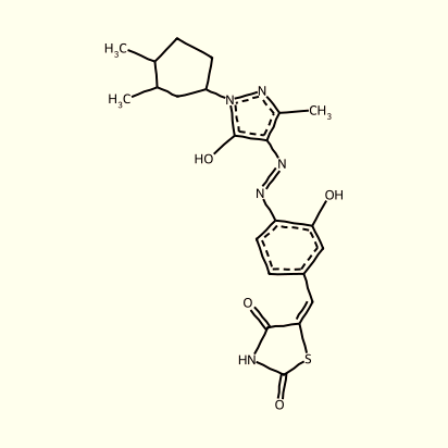 Cc1nn(C2CCC(C)C(C)C2)c(O)c1N=Nc1ccc(C=C2SC(=O)NC2=O)cc1O